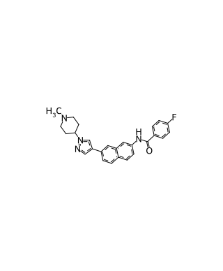 CN1CCC(n2cc(-c3ccc4ccc(NC(=O)c5ccc(F)cc5)cc4c3)cn2)CC1